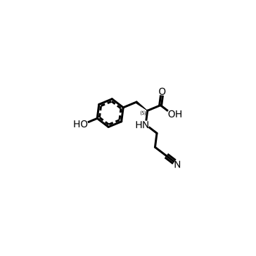 N#CCCN[C@@H](Cc1ccc(O)cc1)C(=O)O